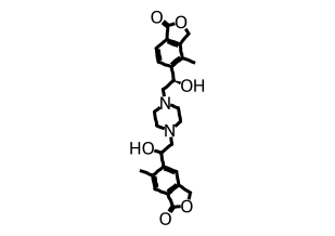 Cc1cc2c(cc1C(O)CN1CCN(C[C@H](O)c3ccc4c(c3C)COC4=O)CC1)COC2=O